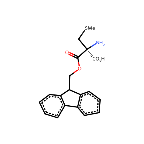 CSC[C@](N)(C(=O)O)C(=O)OCC1c2ccccc2-c2ccccc21